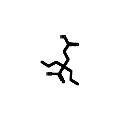 CCCC(CCC)(CCC(=O)O)C(=O)O